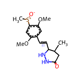 COc1cc([S+](C)[O-])c(OC)cc1/C=C/C1NNC(=O)CC1C